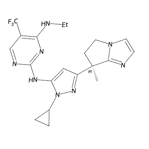 CCNc1nc(Nc2cc([C@@]3(C)CCn4ccnc43)nn2C2CC2)ncc1C(F)(F)F